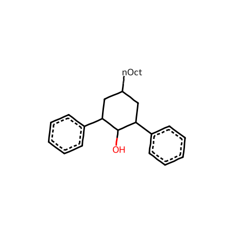 CCCCCCCCC1CC(c2ccccc2)C(O)C(c2ccccc2)C1